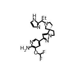 CC[C@@H](c1ncc[nH]1)N1CC[C@@]2(CCn3nc(-c4cnc(N)c(OC(F)F)c4)cc32)C1